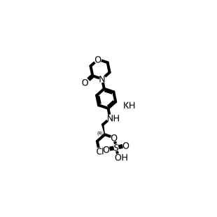 O=C1COCCN1c1ccc(NC[C@H](CCl)OS(=O)(=O)O)cc1.[KH]